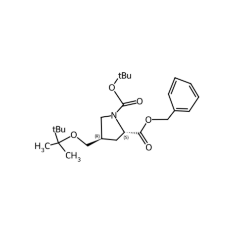 CC(C)(C)OC(=O)N1C[C@H](COC(C)(C)C(C)(C)C)C[C@H]1C(=O)OCc1ccccc1